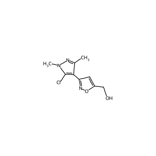 Cc1nn(C)c(Cl)c1-c1cc(CO)on1